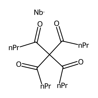 CCCC(=O)C(C(=O)CCC)(C(=O)CCC)C(=O)CCC.[Nb]